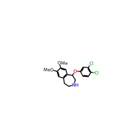 COc1cc2c(cc1OC)C(Oc1ccc(Cl)c(Cl)c1)CNCC2